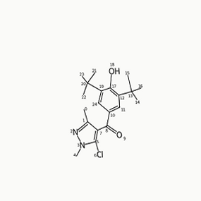 Cc1nn(C)c(Cl)c1C(=O)c1cc(C(C)(C)C)c(O)c(C(C)(C)C)c1